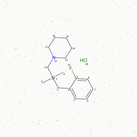 C[Si](C)(Cc1ccccc1F)CN1CCCCC1.Cl